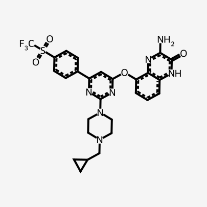 Nc1nc2c(Oc3cc(-c4ccc(S(=O)(=O)C(F)(F)F)cc4)nc(N4CCN(CC5CC5)CC4)n3)cccc2[nH]c1=O